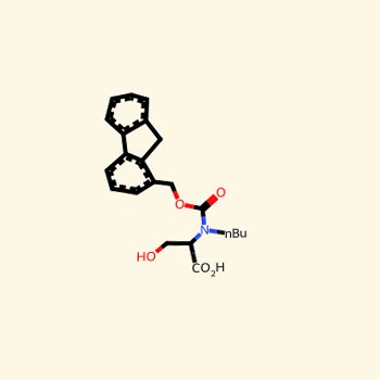 CCCCN(C(=O)OCc1cccc2c1Cc1ccccc1-2)C(CO)C(=O)O